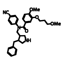 COCCCOc1cc(C(=O)N(CC2CNCC2Cc2ccccc2)c2ccc(C#N)cc2)ccc1OC